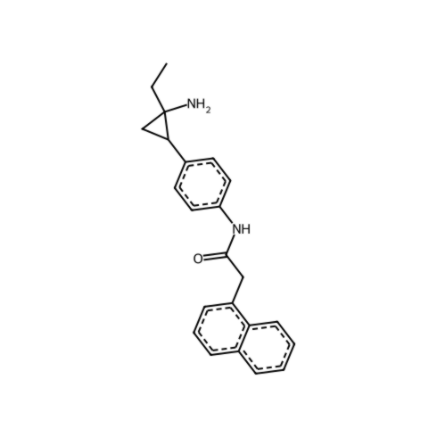 CCC1(N)CC1c1ccc(NC(=O)Cc2cccc3ccccc23)cc1